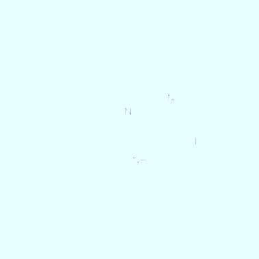 CC(C)c1nc2ccc(F)cn2c1Nc1ccccc1